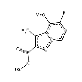 COc1c(Br)ccc2oc(C(=O)OC(C)(C)C)c(C)c12